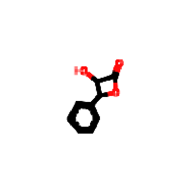 O=C1OC(c2ccccc2)C1O